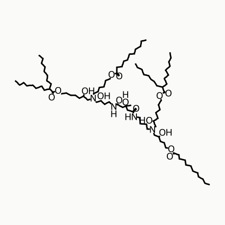 CCCCCCCCCCCC(=O)OCCCC(O)CN(CCCCNC(=O)CC(C)(O)CC(=O)NCCCCN(CC(O)CCCCCOC(=O)C(CCCCCCCC)CCCCCCCC)CC(O)CCCCOC(=O)CCCCCCCCCC)CC(O)CCCCCOC(=O)C(CCCCCCCC)CCCCCCCC